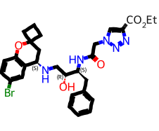 CCOC(=O)c1cn(CC(=O)N[C@@H](Cc2ccccc2)[C@H](O)CN[C@H]2CC3(CCC3)Oc3ccc(Br)cc32)nn1